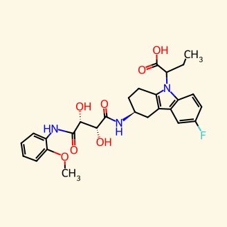 CCC(C(=O)O)n1c2c(c3cc(F)ccc31)C[C@@H](NC(=O)[C@H](O)[C@@H](O)C(=O)Nc1ccccc1OC)CC2